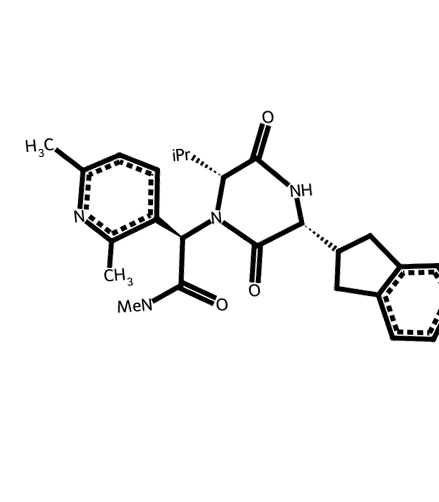 CNC(=O)[C@@H](c1ccc(C)nc1C)N1C(=O)[C@@H](C2Cc3ccccc3C2)NC(=O)[C@H]1C(C)C